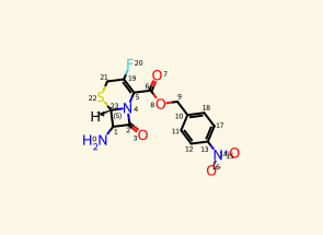 NC1C(=O)N2C(C(=O)OCc3ccc([N+](=O)[O-])cc3)=C(F)CS[C@@H]12